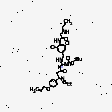 C=CCNCC(=O)Nc1c(Cl)cc(CN/C(=N/C(=O)CC(=NOCC)c2ccc(OCC=C)cc2)NC(=O)OC(C)(C)C)cc1Cl